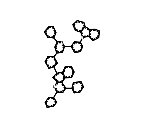 c1ccc(-c2cc(-c3cccc(-c4cc5nc(-c6ccccc6)cc(-c6ccccc6)c5c5ccccc45)c3)cc(-c3cccc(-n4c5ccccc5c5ccccc54)c3)n2)cc1